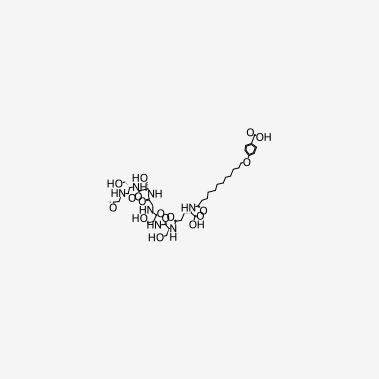 O=[C]CNC(=O)[C@H](CO)NC(=O)[C@H](CO)NC(=O)CNC(=O)[C@H](CO)NC(=O)[C@H](CO)NC(=O)CC[C@H](NC(=O)CCCCCCCCCCCOc1ccc(C(=O)O)cc1)C(=O)O